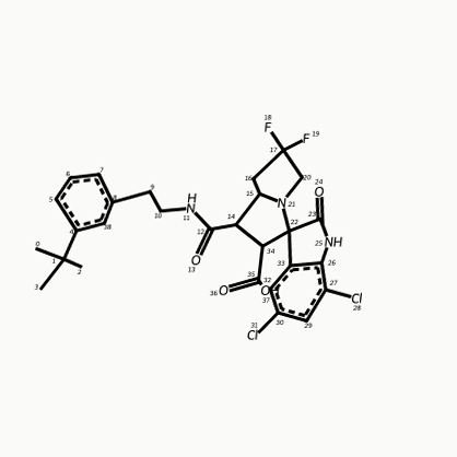 CC(C)(C)c1cccc(CCNC(=O)C2C3CC(F)(F)CN3C3(C(=O)Nc4c(Cl)cc(Cl)cc43)C2C(=O)O)c1